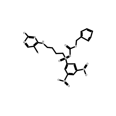 O=C(N=S(=O)(CCCCNc1nc(Cl)ncc1I)c1cc([N+](=O)[O-])cc([N+](=O)[O-])c1)OCc1ccccc1